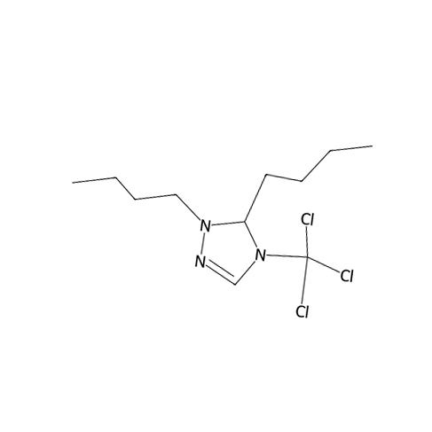 CCCCC1N(CCCC)N=CN1C(Cl)(Cl)Cl